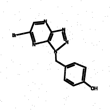 Oc1ccc(Cn2nnc3ncc(Br)nc32)cc1